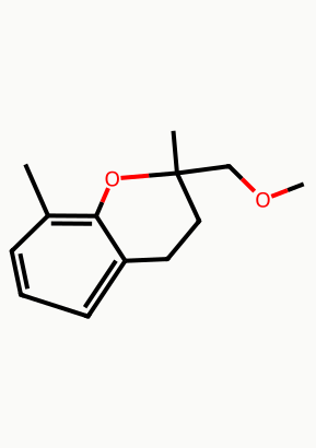 COCC1(C)CCc2cccc(C)c2O1